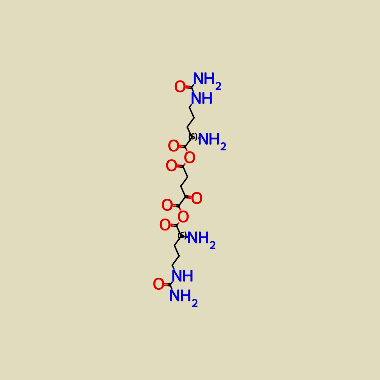 NC(=O)NCCC[C@H](N)C(=O)OC(=O)CCC(=O)C(=O)OC(=O)[C@@H](N)CCCNC(N)=O